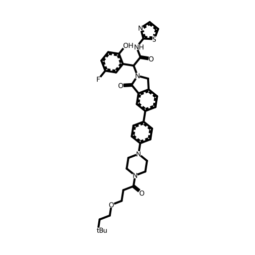 CC(C)(C)CCOCCC(=O)N1CCN(c2ccc(-c3ccc4c(c3)C(=O)N(C(C(=O)Nc3nccs3)c3cc(F)ccc3O)C4)cc2)CC1